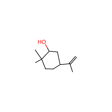 C=C(C)C1CCC(C)(C)C(O)C1